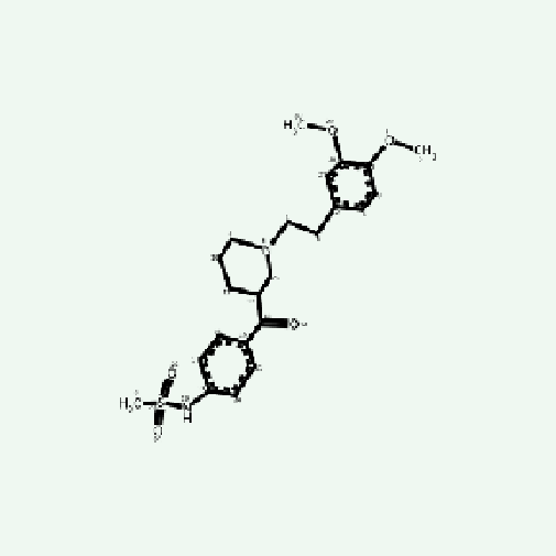 COc1ccc(CCN2CCCC(C(=O)c3ccc(NS(C)(=O)=O)cc3)C2)cc1OC